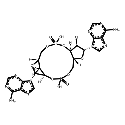 Nc1ncnc2c1ncn2[C@@H]1O[C@@H]2COP(=O)(S)O[C@@H]3[C@H](O)[C@@H](COP(=O)(S)O[C@H]2[C@H]1Cl)O[C@H]3n1cnc2c(N)ncnc21